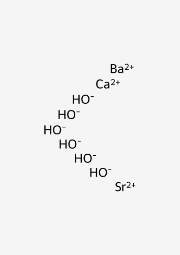 [Ba+2].[Ca+2].[OH-].[OH-].[OH-].[OH-].[OH-].[OH-].[Sr+2]